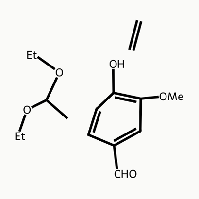 C=C.CCOC(C)OCC.COc1cc(C=O)ccc1O